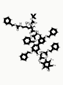 CC(C)(C)OC(=O)N[C@@](C)(C[C@@H](O)CNC(=O)OCc1ccccc1)C(=O)N[C@@H](Cc1cc(-c2ccc(OCc3ccccc3)c(C[C@H](NC(=O)OCc3ccccc3)C(=O)Oc3c(F)c(F)c(F)c(F)c3F)c2)ccc1OCc1ccccc1)C(=O)OCc1ccccc1